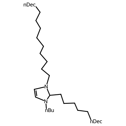 CCCCCCCCCCCCCCCCCCCN1C=CN(CCCC)C1CCCCCCCCCCCCCCC